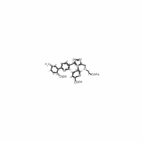 COCCOCc1nnc(-c2ccc(-c3cc(C)ccc3OC)nc2)n1-c1ccc(OC)nc1